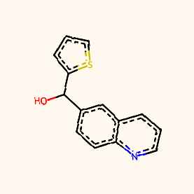 OC(c1ccc2ncccc2c1)c1cccs1